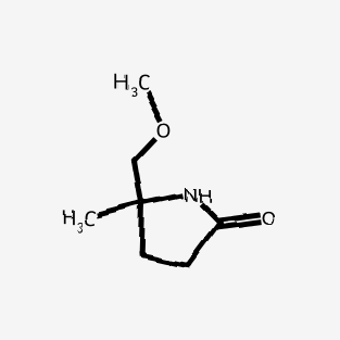 COCC1(C)CCC(=O)N1